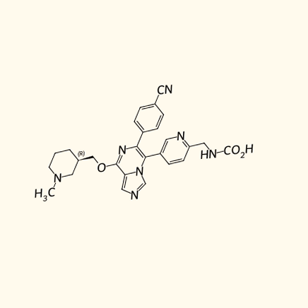 CN1CCC[C@@H](COc2nc(-c3ccc(C#N)cc3)c(-c3ccc(CNC(=O)O)nc3)n3cncc23)C1